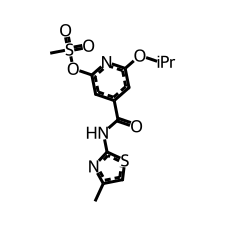 Cc1csc(NC(=O)c2cc(OC(C)C)nc(OS(C)(=O)=O)c2)n1